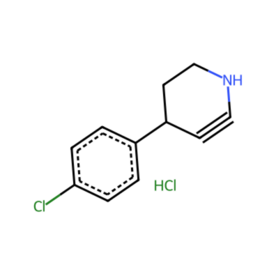 Cl.Clc1ccc(C2C#CNCC2)cc1